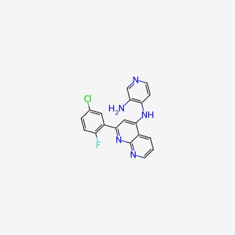 Nc1cnccc1Nc1cc(-c2cc(Cl)ccc2F)nc2ncccc12